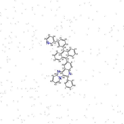 c1ccc(-c2nc3ccc(-c4c5ccccc5c(-c5cccc(-c6cccnc6)c5)c5ccccc45)cc3c3nc4ccccn4c23)cc1